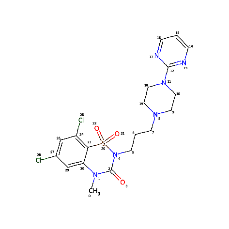 CN1C(=O)N(CCCN2CCN(c3ncccn3)CC2)S(=O)(=O)c2c(Cl)cc(Cl)cc21